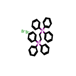 [Br-].[Br-].c1ccc([P+](CC[P+](c2ccccc2)(c2ccccc2)c2ccccc2)(c2ccccc2)c2ccccc2)cc1